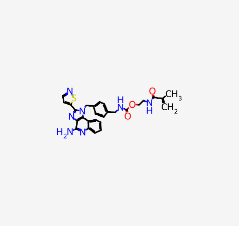 C=C(C)C(=O)NCCOC(=O)NCc1ccc(Cn2c(-c3ccns3)nc3c(N)nc4ccccc4c32)cc1